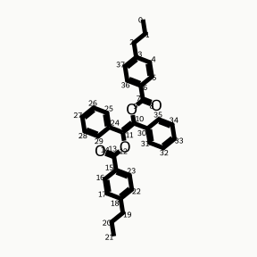 CCCc1ccc(C(=O)O/C(=C(/OC(=O)c2ccc(CCC)cc2)c2ccccc2)c2ccccc2)cc1